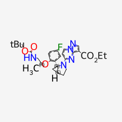 CCOC(=O)c1cnn2ccc(N3CC[C@H]4C[C@]43c3cc(F)ccc3O[C@H](C)CNC(=O)OC(C)(C)C)nc12